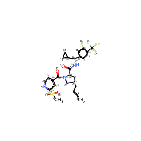 C=C=CC[C@@H]1C[C@H](C(=O)N[C@@H](c2ccc(C(F)(F)F)c(F)c2)C2CC2)N(C(=O)c2ccnc(S(C)(=O)=O)c2)C1